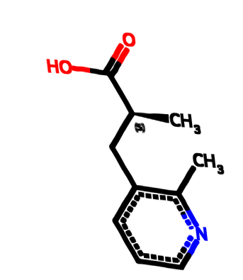 Cc1ncccc1C[C@H](C)C(=O)O